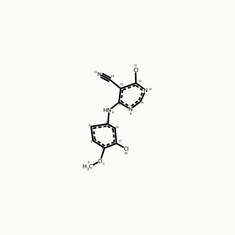 COc1ccc(Nc2ncnc(Cl)c2C#N)cc1Cl